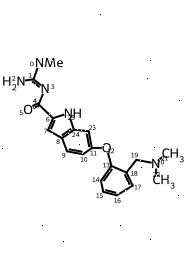 CNC(N)=NC(=O)c1cc2ccc(Oc3ccccc3CN(C)C)cc2[nH]1